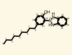 CCCCCCCCCc1ccc(O)c(N2Nc3ccccc3N2)c1